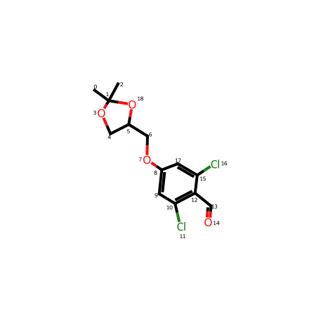 CC1(C)OCC(COc2cc(Cl)c(C=O)c(Cl)c2)O1